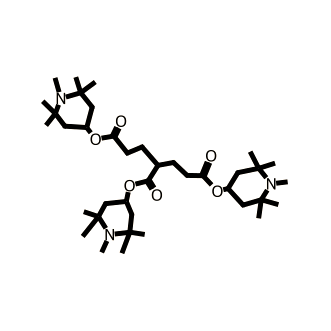 CN1C(C)(C)CC(OC(=O)CCC(CCC(=O)OC2CC(C)(C)N(C)C(C)(C)C2)C(=O)OC2CC(C)(C)N(C)C(C)(C)C2)CC1(C)C